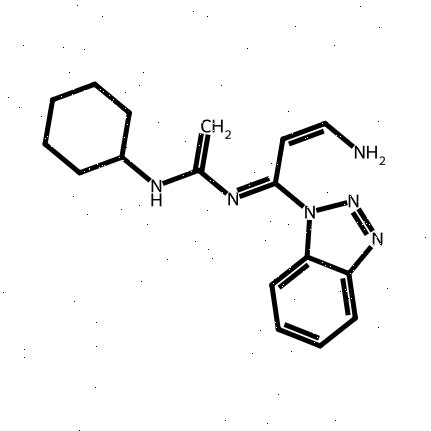 C=C(/N=C(\C=C/N)n1nnc2ccccc21)NC1CCCCC1